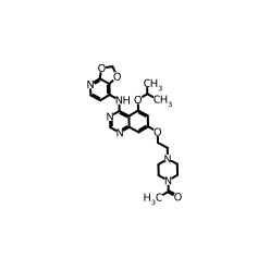 CC(=O)N1CCN(CCOc2cc(OC(C)C)c3c(Nc4ccnc5c4OCO5)ncnc3c2)CC1